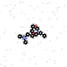 c1ccc(-c2ccc3c(c2)c2ccccc2n3-c2ccc3oc4cccc(-c5ccc6c(c5)oc5cccc(-c7cccc(-c8nc(-c9ccccc9)nc(-c9ccccc9)n8)c7)c56)c4c3c2)cc1